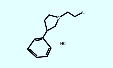 Cl.ClCCN1CCC(c2ccccc2)C1